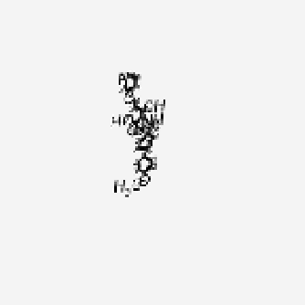 COc1ccc(-c2ccc(S(=O)(=O)N[C@@H](C(=O)O)[C@H](O)CCOc3cccnc3)cc2)cc1